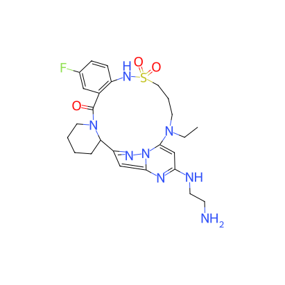 CCN1CCCS(=O)(=O)Nc2ccc(F)cc2C(=O)N2CCCCC2c2cc3nc(NCCN)cc1n3n2